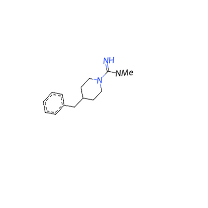 CNC(=N)N1CCC(Cc2ccccc2)CC1